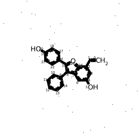 C=Cc1cc(O)cc2c(-c3ccccc3)c(-c3ccc(O)cc3)oc12